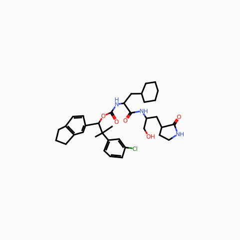 CC(C)(c1cccc(Cl)c1)C(OC(=O)NC(CC1CCCCC1)C(=O)NC(CO)CC1CCNC1=O)c1ccc2c(c1)CCC2